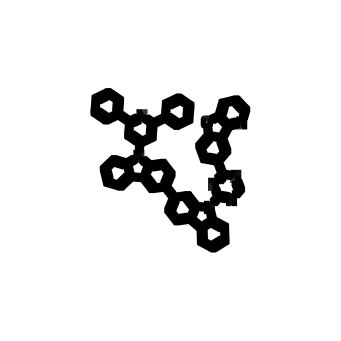 c1ccc(-c2cc(-n3c4ccccc4c4cc(-c5ccc6c7ccccc7n(-c7ncnc(-c8ccc9oc%10cccnc%10c9c8)n7)c6c5)ccc43)cc(-c3ccccc3)n2)cc1